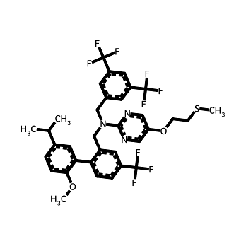 COc1ccc(C(C)C)cc1-c1ccc(C(F)(F)F)cc1CN(Cc1cc(C(F)(F)F)cc(C(F)(F)F)c1)c1ncc(OCCSC)cn1